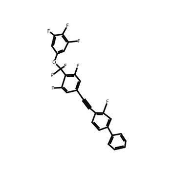 Fc1cc(-c2ccccc2)ccc1C#Cc1cc(F)c(C(F)(F)Oc2cc(F)c(F)c(F)c2)c(F)c1